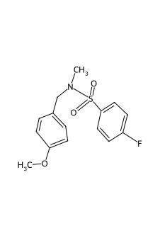 COc1ccc(CN(C)S(=O)(=O)c2ccc(F)cc2)cc1